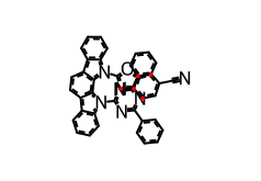 N#Cc1ccc2nc(-n3c4ccccc4c4ccc5c6ccccc6n(-c6nc(-c7ccccc7)nc(-c7ccccc7)n6)c5c43)oc2c1